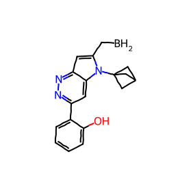 BCc1cc2nnc(-c3ccccc3O)cc2n1C12CC(C1)C2